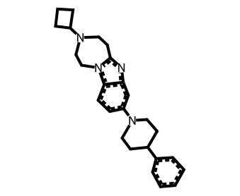 c1ccc(C2CCN(c3ccc4c(c3)nc3n4CCN(C4CCC4)CC3)CC2)cc1